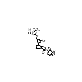 CC(C)(C)OC(=O)NCc1cc(F)cc(-c2cccc3c2CN(C2CCC(=O)NC2=O)C3=O)c1